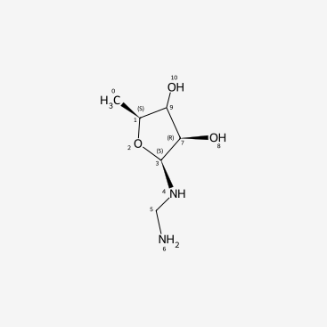 C[C@@H]1O[C@H](NCN)[C@H](O)C1O